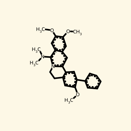 COc1cc2cc3[n+](c(N(C)C)c2cc1OC)CCc1cc(OC)c(-c2ccccc2)cc1-3